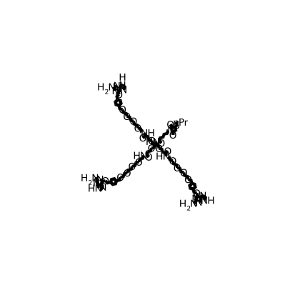 CCCSC1CC(=O)N(CCCCCC(=O)NC(COCCC(=O)NCCOCCOCCOCCOCc2ccc(COc3nc(N)nc4[nH]cnc34)cc2)(COCCC(=O)NCCOCCOCCOCCOCc2ccc(COc3nc(N)nc4[nH]cnc34)cc2)COCCC(=O)NCCOCCOCCOCCOCc2ccc(COc3nc(N)nc4[nH]cnc34)cc2)C1=O